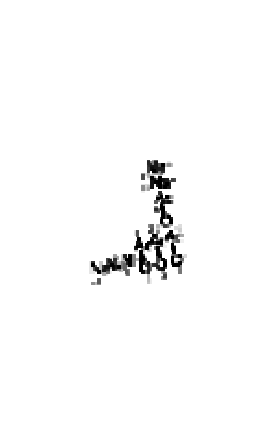 CC(=O)[O-].CC(=O)[O-].CC(=O)[O-].CC(=O)[O-].N.[Na+].[Na+].[Na+].[Na+]